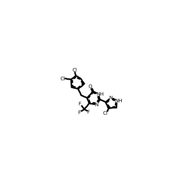 O=c1[nH]c(-c2n[nH]cc2Cl)nc(C(F)(F)F)c1Cc1ccc(Cl)c(Cl)c1